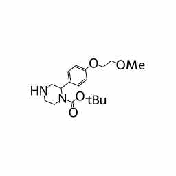 COCCOc1ccc(C2CNCCN2C(=O)OC(C)(C)C)cc1